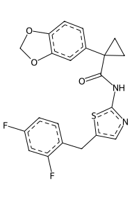 O=C(Nc1ncc(Cc2ccc(F)cc2F)s1)C1(c2ccc3c(c2)OCO3)CC1